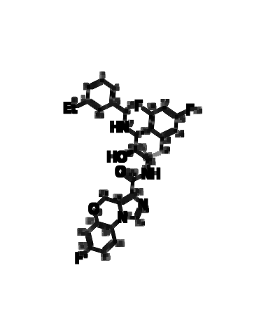 CCc1cccc(CNC[C@H](O)[C@H](Cc2cc(F)cc(F)c2)NC(=O)c2ncn3c2COc2cc(F)ccc2-3)c1